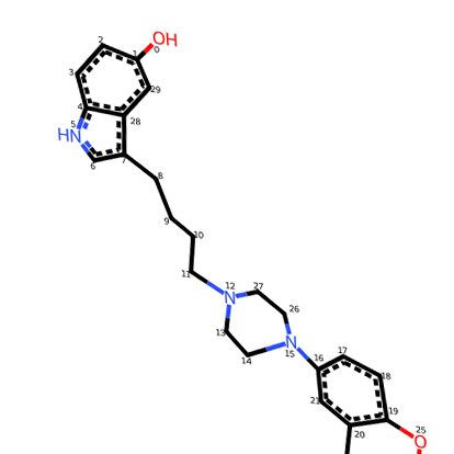 Oc1ccc2[nH]cc(CCCCN3CCN(c4ccc5c(c4)CCCO5)CC3)c2c1